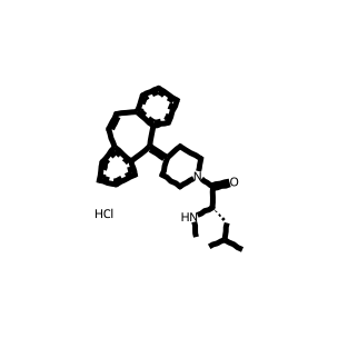 CN[C@@H](CC(C)C)C(=O)N1CCC(=C2c3ccccc3C=Cc3ccccc32)CC1.Cl